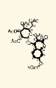 CCCCCCCCOc1ccc2c(O[C@@H]3O[C@H](COC(C)=O)[C@H](OC(C)=O)[C@H](OC(C)=O)[C@H]3OC(C)=O)c(OC(C)=O)c(=O)oc2c1